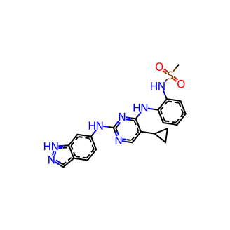 CS(=O)(=O)Nc1ccccc1Nc1nc(Nc2ccc3cn[nH]c3c2)ncc1C1CC1